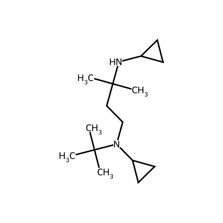 CC(C)(CCN(C1CC1)C(C)(C)C)NC1CC1